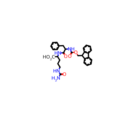 NC(=O)NCCCC(NC(=O)C(Cc1ccccc1)NC(=O)OCC1c2ccccc2-c2ccccc21)C(=O)O